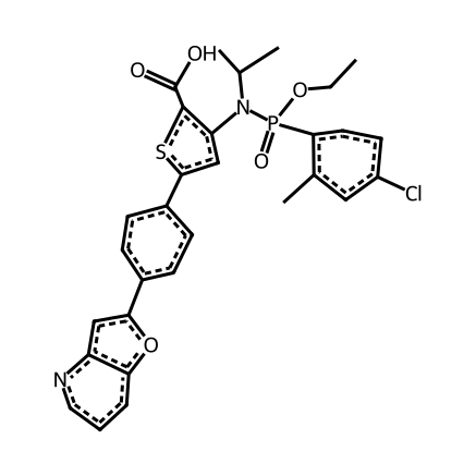 CCOP(=O)(c1ccc(Cl)cc1C)N(c1cc(-c2ccc(-c3cc4ncccc4o3)cc2)sc1C(=O)O)C(C)C